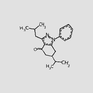 CC(C)Cc1nn(-c2ccccc2)c2c1C(=O)CC(C(C)C)C2